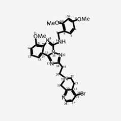 COc1ccc(CNc2nc3c(OC)cccc3c3nc(CCN4CCc5c(Br)ccnc5C4)nn23)c(OC)c1